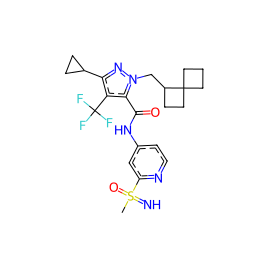 CS(=N)(=O)c1cc(NC(=O)c2c(C(F)(F)F)c(C3CC3)nn2CC2CCC23CCC3)ccn1